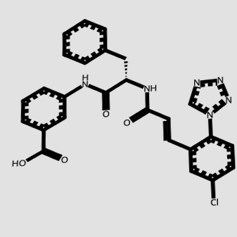 O=C(C=Cc1cc(Cl)ccc1-n1cnnn1)N[C@@H](Cc1ccccc1)C(=O)Nc1cccc(C(=O)O)c1